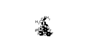 C=CC(=O)N1CC2COc3c(F)c(-c4c(O)ccc(F)c4F)c(Cl)c4c3c(nc(=O)n4-c3c(C)ccnc3C(C)C)N2CC1C